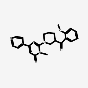 COc1ccccc1C(=O)C1CCCN(c2nc(-c3ccncc3)cc(=O)n2C)C1